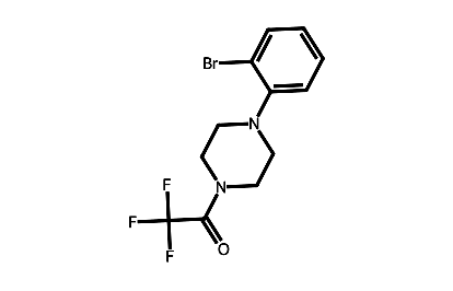 O=C(N1CCN(c2ccccc2Br)CC1)C(F)(F)F